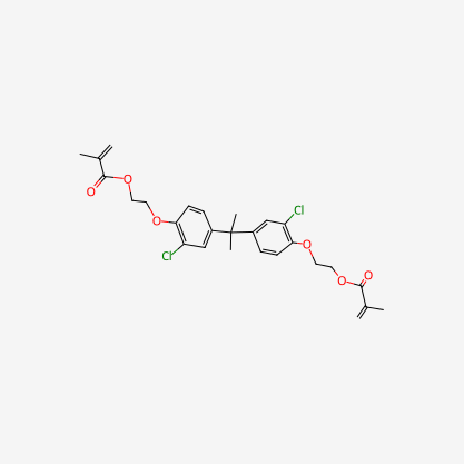 C=C(C)C(=O)OCCOc1ccc(C(C)(C)c2ccc(OCCOC(=O)C(=C)C)c(Cl)c2)cc1Cl